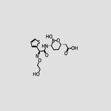 O=C(O)C[C@@H]1CC[C@H](NC(=O)/C(=N\OCCO)c2cccs2)B(O)O1